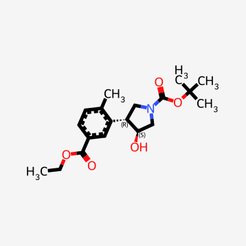 CCOC(=O)c1ccc(C)c([C@@H]2CN(C(=O)OC(C)(C)C)C[C@H]2O)c1